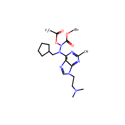 CN(C)CCn1cnc2c(N(CC3CCCC3)N(OC(=O)C(F)(F)F)C(=O)OC(C)(C)C)nc(C#N)nc21